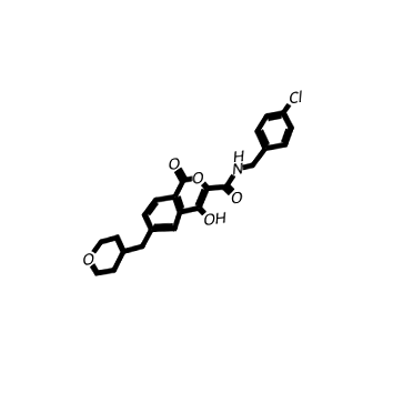 O=C(NCc1ccc(Cl)cc1)c1oc(=O)c2ccc(CC3CCOCC3)cc2c1O